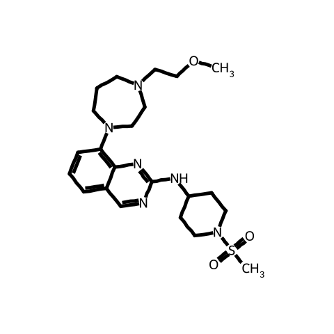 COCCN1CCCN(c2cccc3cnc(NC4CCN(S(C)(=O)=O)CC4)nc23)CC1